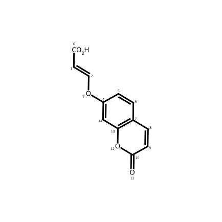 O=C(O)/C=C/Oc1ccc2ccc(=O)oc2c1